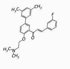 Cc1cc(C)cc(-c2ccc(OCCN(C)C)c(C(=O)C=Cc3cccc(F)c3)c2)c1